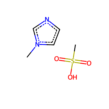 CS(=O)(=O)O.Cn1ccnc1